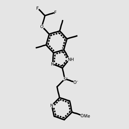 COc1ccnc(C[S+]([O-])c2nc3c(C)c(OC(F)F)c(C)c(C)c3[nH]2)c1